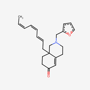 C\C=C/C=C\C=C\CC12CCC(=O)C=C1CCN(Cc1ccco1)C2